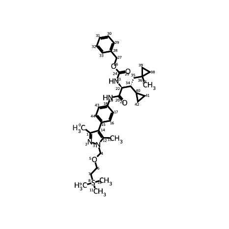 Cc1nn(COCCS(C)(C)C)c(C)c1-c1ccc(NC(=O)[C@@H](NC(=O)OCc2ccccc2)[C@H](CC2(C)CC2)C2CC2)cc1